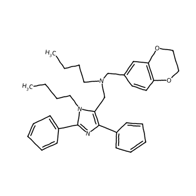 CCCCN(Cc1ccc2c(c1)OCCO2)Cc1c(-c2ccccc2)nc(-c2ccccc2)n1CCCC